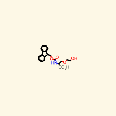 O=C(NC(COCCO)C(=O)O)OCC1c2ccccc2-c2ccccc21